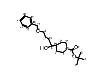 CC(C)(C)OC(=O)N1CCC(C(O)CCCOCc2ccccc2)CC1